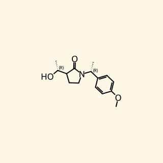 COc1ccc([C@@H](C)N2CCC([C@@H](C)O)C2=O)cc1